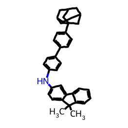 CC1(C)c2ccccc2-c2cc(Nc3ccc(-c4ccc(C56CC7CC(CC(C7)C5)C6)cc4)cc3)ccc21